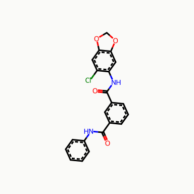 O=C(Nc1ccccc1)c1cccc(C(=O)Nc2cc3c(cc2Cl)OCO3)c1